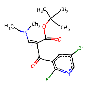 CN(C)/C=C(\C(=O)OC(C)(C)C)C(=O)c1cc(Br)cnc1F